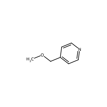 [CH2]OCc1ccncc1